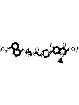 O=C(CN1CCN(c2cc3c(cc2F)c(=O)c(C(=O)O)cn3C2CC2)CC1)NCCNc1cccc2c(S(=O)(=O)O)cccc12